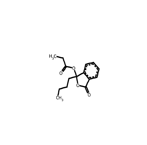 CCCCC1(OC(=O)CC)OC(=O)c2ccccc21